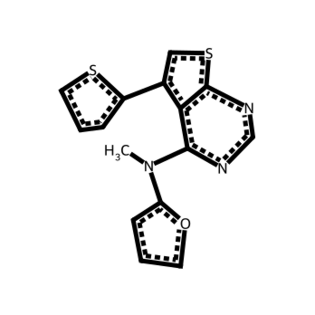 CN(c1ccco1)c1ncnc2scc(-c3cccs3)c12